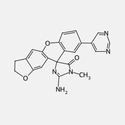 CN1C(=O)C2(N=C1N)c1cc(-c3cncnc3)ccc1Oc1cc3c(cc12)OCC3